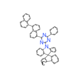 c1ccc(-c2nc(-c3cccc4c(-c5cccc6ccccc56)cccc34)nc(N3c4ccccc4C4(c5ccccc5-c5ccccc54)c4ccccc43)n2)cc1